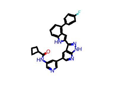 O=C(Nc1cncc(-c2cnc3[nH]nc(-c4cc5c(-c6ccc(F)cc6)cccc5[nH]4)c3c2)c1)C1CCC1